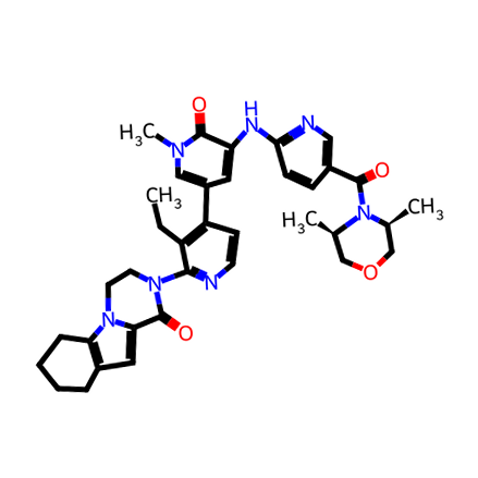 CCc1c(-c2cc(Nc3ccc(C(=O)N4[C@H](C)COC[C@@H]4C)cn3)c(=O)n(C)c2)ccnc1N1CCn2c(cc3c2CCCC3)C1=O